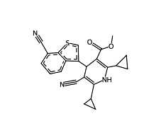 COC(=O)C1=C(C2CC2)NC(C2CC2)=C(C#N)C1c1csc2c(C#N)cccc12